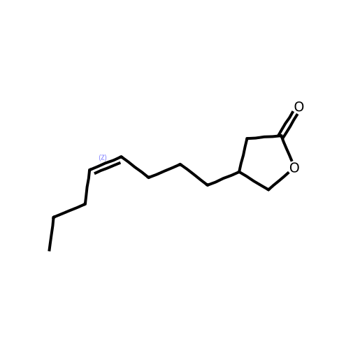 CCC/C=C\CCCC1COC(=O)C1